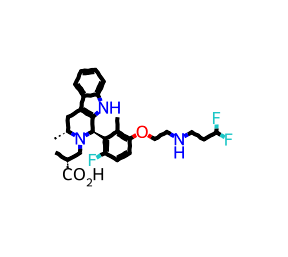 Cc1c(OCCNCCC(F)F)ccc(F)c1[C@@H]1c2[nH]c3ccccc3c2C[C@@H](C)N1C[C@@H](C)C(=O)O